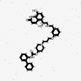 O=C(Nc1ccccc1-c1ccccc1)OC1CCN(CCCOc2cccc(CNC[C@H](O)c3ccc(O)c4[nH]c(=O)ccc34)c2)CC1